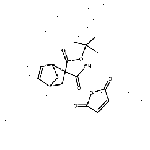 CC(C)(C)OC(=O)C1(C(=O)O)CC2C=CC1C2.O=C1C=CC(=O)O1